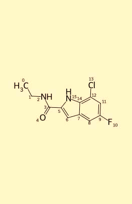 CCNC(=O)c1cc2cc(F)cc(Cl)c2[nH]1